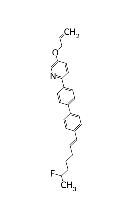 C=CCOc1ccc(-c2ccc(-c3ccc(C=CCCCC(C)F)cc3)cc2)nc1